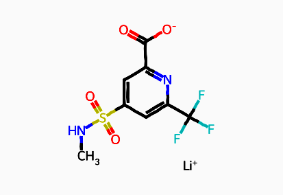 CNS(=O)(=O)c1cc(C(=O)[O-])nc(C(F)(F)F)c1.[Li+]